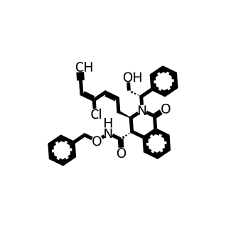 C#C/C=C(Cl)\C=C/C[C@@H]1[C@@H](C(=O)NOCc2ccccc2)c2ccccc2C(=O)N1[C@H](CO)c1ccccc1